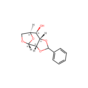 O[C@H]1[C@@H]2OC(c3ccccc3)O[C@@H]2[C@@H]2OC[C@@H]1O2